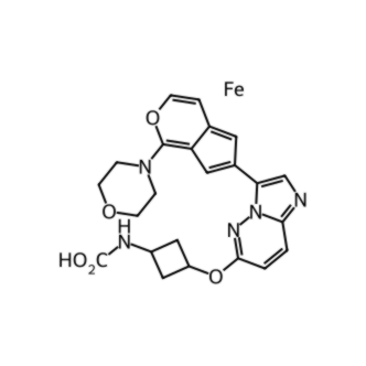 O=C(O)NC1CC(Oc2ccc3ncc(-c4cc5ccoc(N6CCOCC6)c-5c4)n3n2)C1.[Fe]